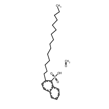 C=O.CCCCCCCCCCCCCCCc1ccc2ccccc2c1S(=O)(=O)O